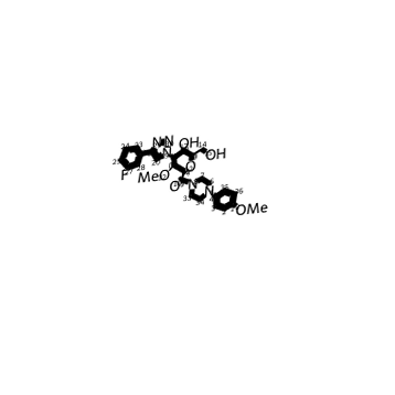 COc1ccc(N2CCN(C(=O)[C@@H]3O[C@H](CO)[C@H](O)[C@H](n4cc(-c5cccc(F)c5)nn4)[C@H]3OC)CC2)cc1